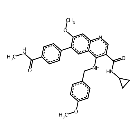 CNC(=O)c1ccc(-c2cc3c(NCc4ccc(OC)cc4)c(C(=O)NC4CC4)cnc3cc2OC)cc1